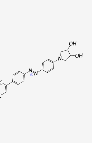 N#CC=C(C#N)c1ccc(/N=N/c2ccc(N3CC(O)C(O)C3)cc2)cc1